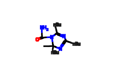 CCCCC1=NC(C)(CCCC)N(C(N)=O)C(CCCC)=N1